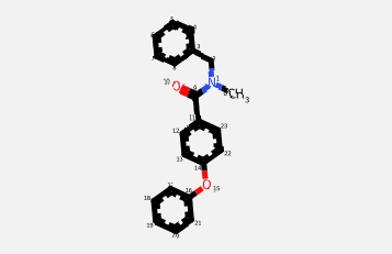 CN(Cc1ccccc1)C(=O)c1ccc(Oc2ccccc2)cc1